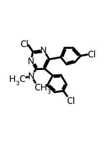 CN(C)c1nc(Cl)nc(-c2ccc(Cl)cc2)c1-c1ccc(Cl)cc1